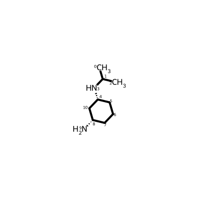 CC(C)N[C@@H]1CCC[C@H](N)C1